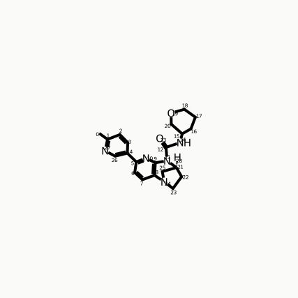 Cc1ccc(-c2ccc3c(n2)N(C(=O)NC2CCCOC2)[C@H]2CCN3C2)cn1